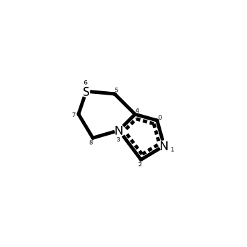 c1ncn2c1CSCC2